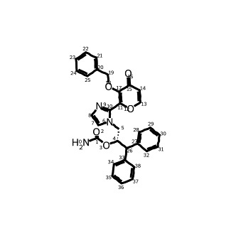 NC(=O)O[C@H](Cn1ccnc1-c1occc(=O)c1OCc1ccccc1)C(c1ccccc1)c1ccccc1